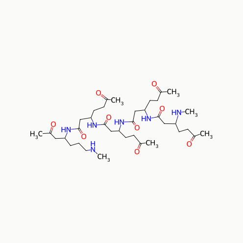 CNCCCC(CC(C)=O)NC(=O)CC(CCC(C)=O)NC(=O)CC(CCC(C)=O)NC(=O)CC(CCC(C)=O)NC(=O)CC(CCC(C)=O)NC